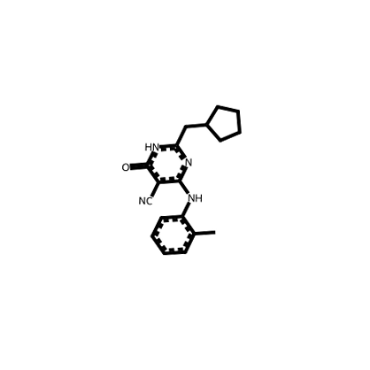 Cc1ccccc1Nc1nc(CC2CCCC2)[nH]c(=O)c1C#N